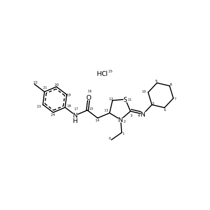 CCN1C(=NC2CCCCC2)SCC1CC(=O)Nc1ccc(C)cc1.Cl